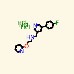 Cl.Cl.Cl.Fc1ccc(-c2cncc(CNCCOc3ccccn3)c2)cc1